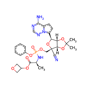 C[C@H](NP(=O)(OC[C@@]1(C#N)O[C@@H](c2ccc3c(N)ncnn23)[C@@H]2OC(C)(C)O[C@@H]21)Oc1ccccc1)C(=O)OC1COC1